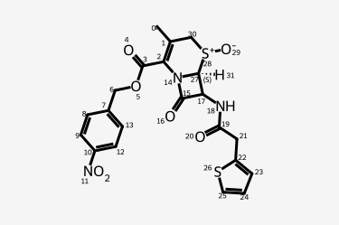 [CH2]C1=C(C(=O)OCc2ccc([N+](=O)[O-])cc2)N2C(=O)C(NC(=O)Cc3cccs3)[C@@H]2[S+]([O-])C1